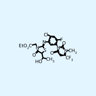 CCOC(=O)CN1C(=O)C(C(C)O)S/C1=N\c1cc(-n2c(=O)cc(C(F)(F)F)n(C)c2=O)c(F)cc1Cl